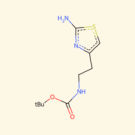 CC(C)(C)OC(=O)NCCc1csc(N)n1